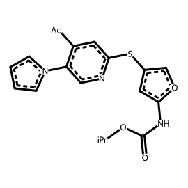 CC(=O)c1cc(Sc2coc(NC(=O)OC(C)C)c2)ncc1-n1cccc1